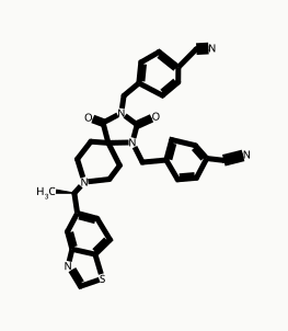 C[C@H](c1ccc2scnc2c1)N1CCC2(CC1)C(=O)N(Cc1ccc(C#N)cc1)C(=O)N2Cc1ccc(C#N)cc1